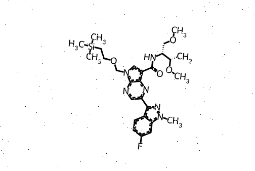 COC[C@@H](NC(=O)c1cn(COCC[Si](C)(C)C)c2ncc(-c3nn(C)c4cc(F)ccc34)nc12)[C@H](C)OC